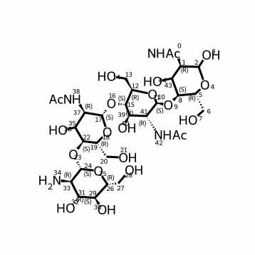 CC(=O)N[C@H]1C(O)O[C@H](CO)[C@@H](O[C@@H]2O[C@H](CO)[C@@H](O[C@@H]3O[C@H](CO)[C@@H](O[C@@H]4O[C@H](CO)[C@@H](O)[C@H](O)[C@H]4N)C(O)[C@H]3NC(C)=O)[C@H](O)[C@H]2NC(C)=O)C1O